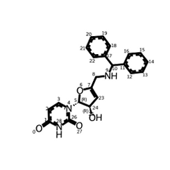 O=c1ccn([C@@H]2OC(CNC(c3ccccc3)c3ccccc3)=C[C@H]2O)c(=O)[nH]1